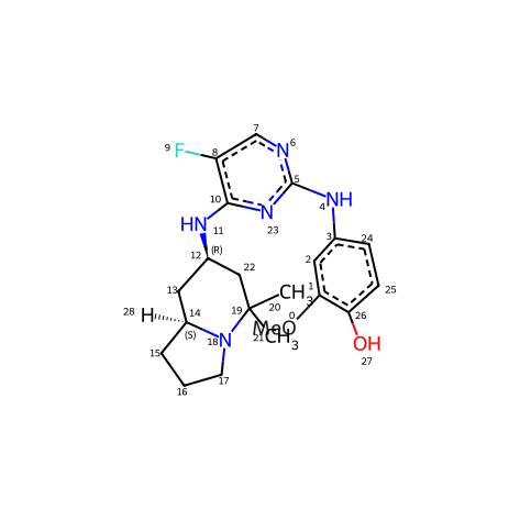 COc1cc(Nc2ncc(F)c(N[C@@H]3C[C@@H]4CCCN4C(C)(C)C3)n2)ccc1O